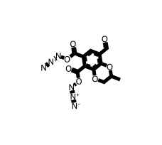 CC1COc2c(c(C=O)cc(C(=O)ON=[N+]=[N-])c2C(=O)ON=[N+]=[N-])O1